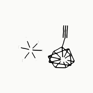 C#C[C]12[CH]3[CH]4[CH]5[CH]1[Co]45321678[CH]2[CH]1[CH]6[CH]7[CH]28.F[P-](F)(F)(F)(F)F